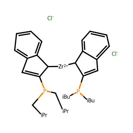 CCC(C)P(C1=Cc2ccccc2[CH]1[Zr+2][CH]1C(P(CC(C)C)CC(C)C)=Cc2ccccc21)C(C)CC.[Cl-].[Cl-]